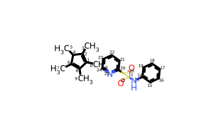 CC1=C(C)C(C)C(C)=C1C.O=S(=O)(Nc1ccccc1)c1ccccn1